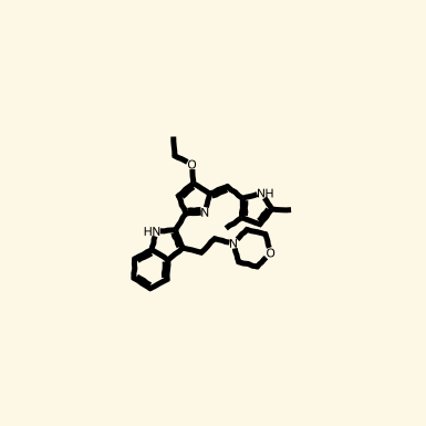 CCOC1=CC(c2[nH]c3ccccc3c2CCN2CCOCC2)=N/C1=C\c1[nH]c(C)cc1C